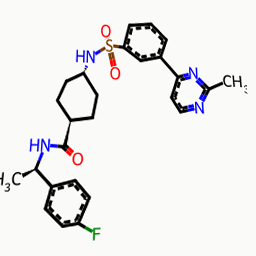 Cc1nccc(-c2cccc(S(=O)(=O)N[C@H]3CC[C@H](C(=O)N[C@H](C)c4ccc(F)cc4)CC3)c2)n1